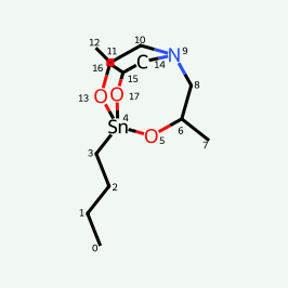 CCC[CH2][Sn]12[O]C(C)CN(CC(C)[O]1)CC(C)[O]2